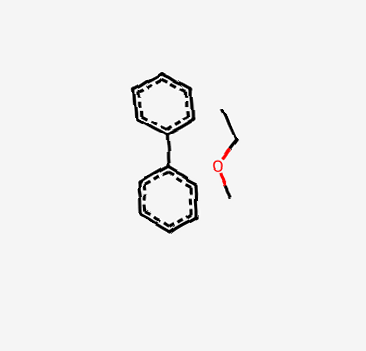 CCOC.c1ccc(-c2ccccc2)cc1